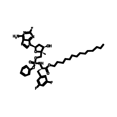 CCCCCCCCCCCCCCOC(=O)[C@H](Cc1cc(F)cc(F)c1)NP(=O)(OC[C@@]1(C)O[C@@H](n2cnc3c(N)nc(F)nc32)C[C@@H]1O)Oc1ccccc1